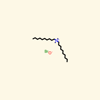 CCCCCCCCCC[N+](C)(C)CCCCCCCCCC.[O-]Br